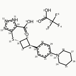 O=C(O)C(F)(F)F.O=C(O)c1[nH]nnc1S[C@H]1C[C@H](c2ccc(N3CCCCC3)cc2)C1